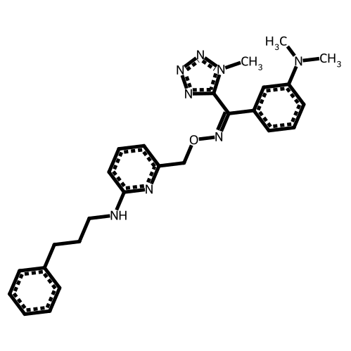 CN(C)c1cccc(C(=NOCc2cccc(NCCCc3ccccc3)n2)c2nnnn2C)c1